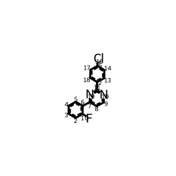 Fc1ccccc1-c1ccnc(-c2ccc(Cl)cc2)n1